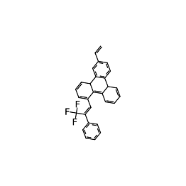 C=Cc1ccc2c(c1)C1C=CC=C(/C=C(/c3ccccc3)C(F)(F)F)C1=C1C=CC=CC12